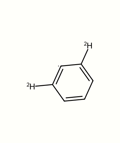 [2H]c1[c]c([2H])ccc1